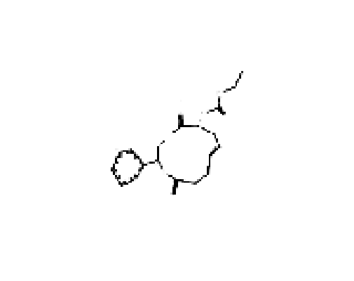 CCNC(=O)N[C@@H]1C/C=C/CCC(=O)NC(c2ccccc2)COC1=O